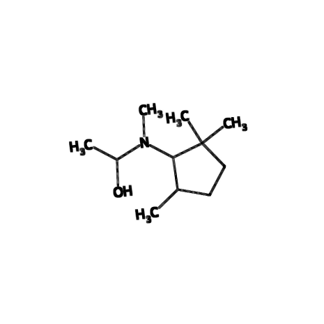 CC1CCC(C)(C)C1N(C)C(C)O